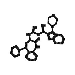 N=C(NC1N=C(c2ccccc2)c2ccccc2NC1=O)OC(=N)c1nc2ccccn2c1N1CCOCC1